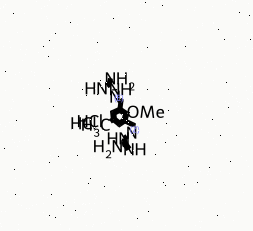 COc1c(/C=N\NC(=N)N)cc(C)cc1/C=N/NC(=N)N.Cl.Cl